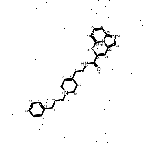 O=C(NCCC1=CCN(CCCc2ccccc2)CC1)C1=Cc2cnc3cccc(n23)S1